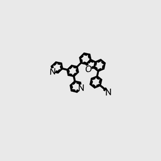 N#Cc1cccc(-c2cccc3c2oc2c(-c4cc(-c5cccnc5)cc(-c5cccnc5)c4)cccc23)c1